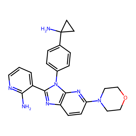 Nc1ncccc1-c1nc2ccc(N3CCOCC3)nc2n1-c1ccc(C2(N)CC2)cc1